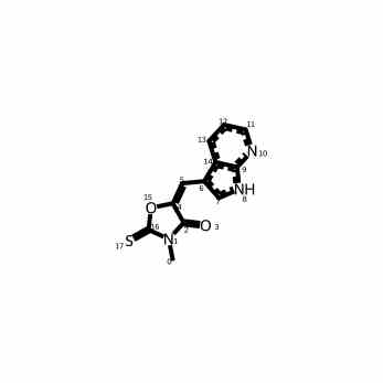 CN1C(=O)C(=Cc2c[nH]c3ncccc23)OC1=S